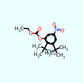 CCOC(=O)Oc1cc([N+](=O)[O-])cc(C(C)(C)C)c1C(C)(C)C